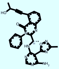 Cc1noc(-c2c(N)ncnc2N[C@@H](C)c2nc3cccc(C#CC(C)O)c3c(=O)n2-c2ccccc2)n1